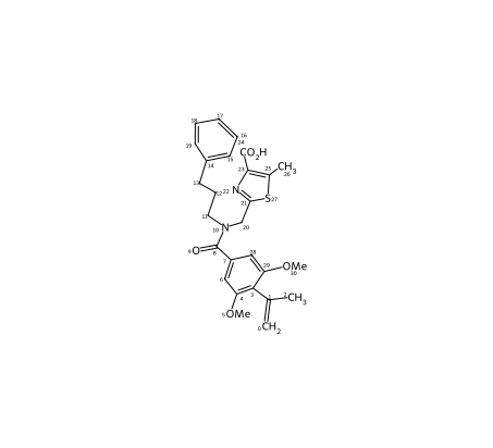 C=C(C)c1c(OC)cc(C(=O)N(CCCc2ccccc2)Cc2nc(C(=O)O)c(C)s2)cc1OC